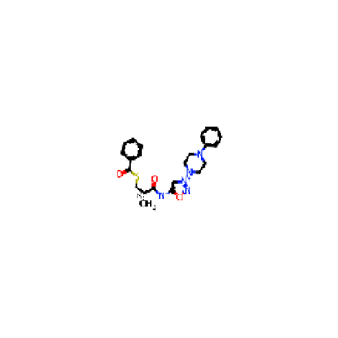 C[C@H](CSC(=O)c1ccccc1)C(=O)[N-]c1c[n+](N2CCN(c3ccccc3)CC2)no1